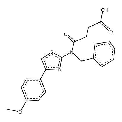 COc1ccc(-c2csc(N(Cc3ccccc3)C(=O)CCC(=O)O)n2)cc1